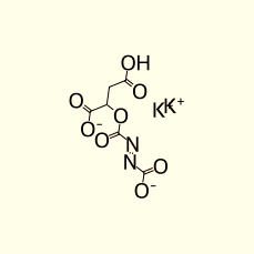 O=C(O)CC(OC(=O)N=NC(=O)[O-])C(=O)[O-].[K+].[K+]